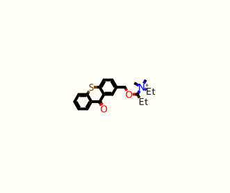 CCC(OCc1ccc2sc3ccccc3c(=O)c2c1)[N+](C)(C)CC